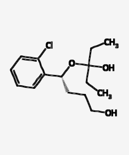 CCC(O)(CC)O[C@H](CCCO)c1ccccc1Cl